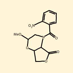 COC1CN(C(=O)c2ccccc2[N+](=O)[O-])C2C(=O)OCC2O1